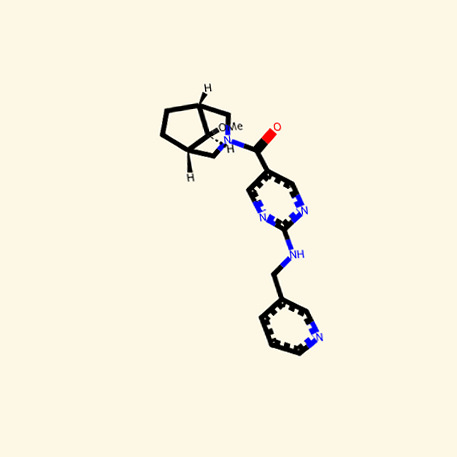 CO[C@@H]1[C@@H]2CC[C@H]1CN(C(=O)c1cnc(NCc3cccnc3)nc1)C2